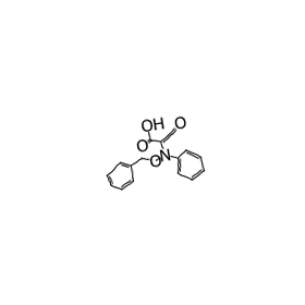 O=C=C(C(=O)O)N(OCc1ccccc1)c1ccccc1